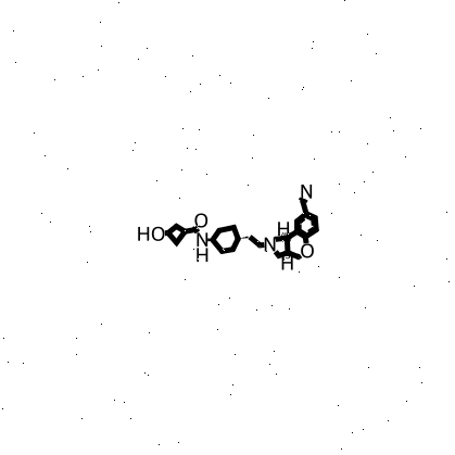 N#Cc1ccc2c(c1)[C@@H]1CN(CC[C@H]3CC[C@H](NC(=O)C4CC(O)C4)CC3)C[C@H]1CO2